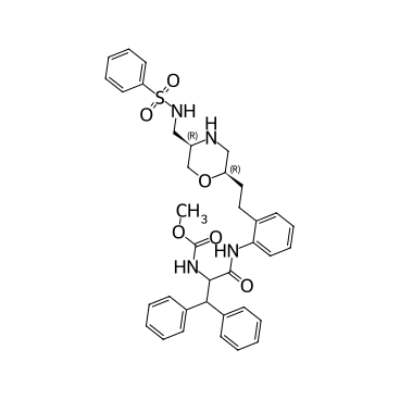 COC(=O)NC(C(=O)Nc1ccccc1CC[C@@H]1CN[C@H](CNS(=O)(=O)c2ccccc2)CO1)C(c1ccccc1)c1ccccc1